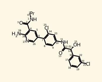 CC(C)NC(=O)c1cc(-c2ccc(NC(=O)[C@@H](O)c3cccc(Cl)c3)cc2Cl)cnc1N